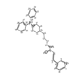 O=C(C=Cc1cccnc1)NCCCCC1CCN(P(c2ccccc2)c2ccccc2)CC1